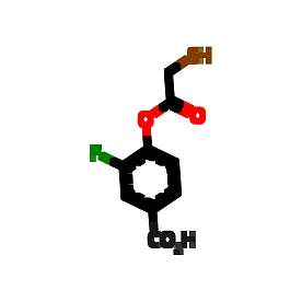 O=C(CS)Oc1ccc(C(=O)O)cc1F